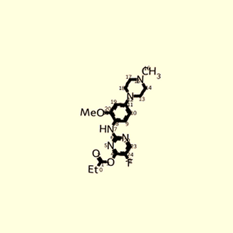 CCC(=O)Oc1nc(Nc2ccc(N3CCN(C)CC3)cc2OC)ncc1F